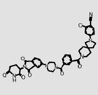 N#Cc1ccc(N2CCC3(CCN(C(=O)c4cccc(C(=O)N5CCN(c6ccc7c(c6)C(=O)N(C6CCC(=O)NC6=O)C7=O)CC5)c4)CC3)C2)cc1Cl